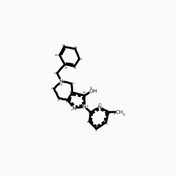 Cc1cccc(-n2nc3c(c2O)CN(CC2=CCCC=C2)CC3)n1